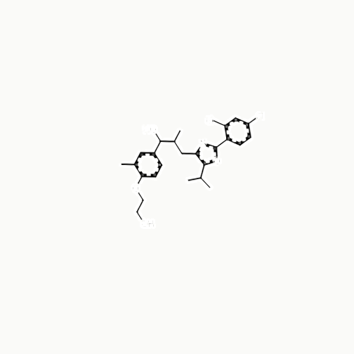 Cc1cc(C(O)C(C)Cc2nc(-c3ccc(Cl)cc3Cl)oc2C(C)C)ccc1OCCO